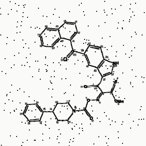 COC(=O)/C(=N/OC(=O)N1CCC(c2ccccc2)CC1)C(=O)c1c[nH]c2ccc(C(=O)c3cccc4ccccc34)cc12